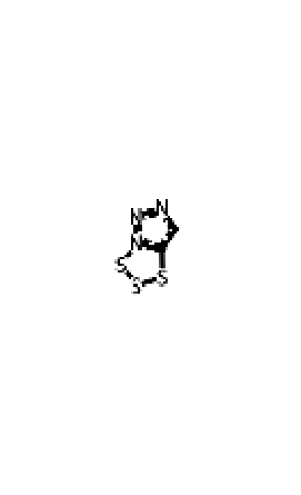 [c]1nnn2c1SSS2